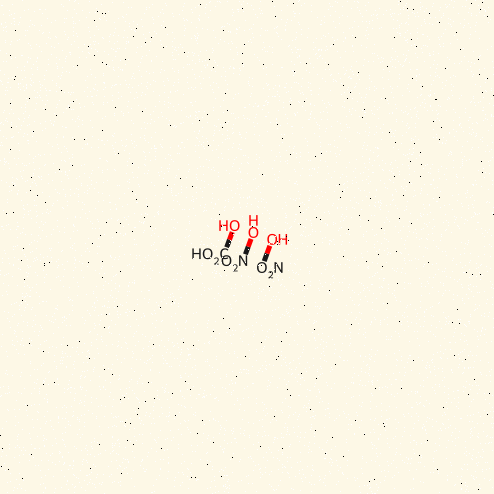 O=C(O)O.O=[N+]([O-])O.O=[N+]([O-])O